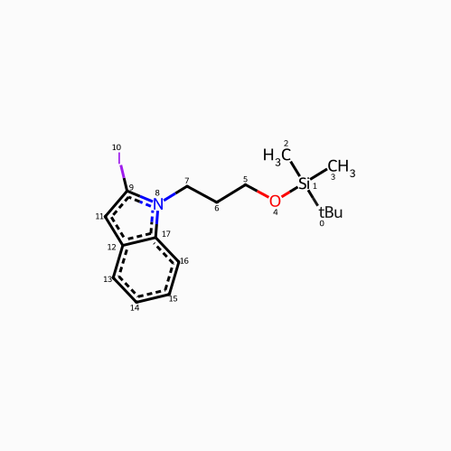 CC(C)(C)[Si](C)(C)OCCCn1c(I)cc2ccccc21